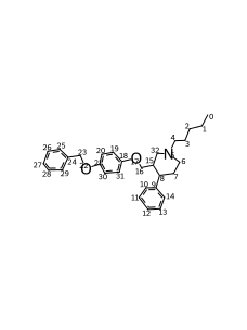 CCCCCN1CCC(c2ccccc2)C(COc2ccc(OCc3ccccc3)cc2)C1